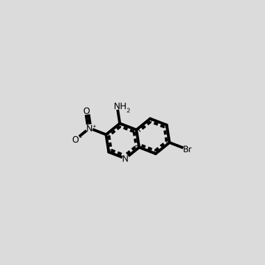 Nc1c([N+](=O)[O-])cnc2cc(Br)ccc12